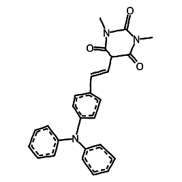 CN1C(=O)C(C=Cc2ccc(N(c3ccccc3)c3ccccc3)cc2)C(=O)N(C)C1=O